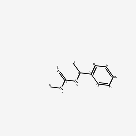 CSC(=S)SC(C)c1ccccc1